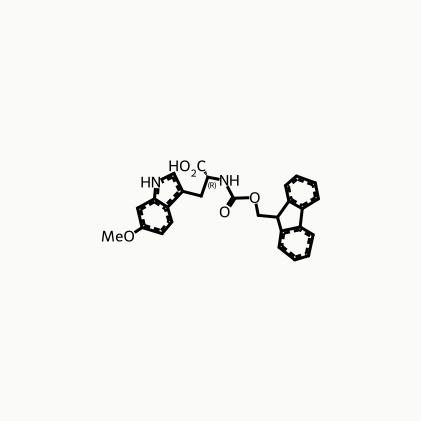 COc1ccc2c(C[C@@H](NC(=O)OCC3c4ccccc4-c4ccccc43)C(=O)O)c[nH]c2c1